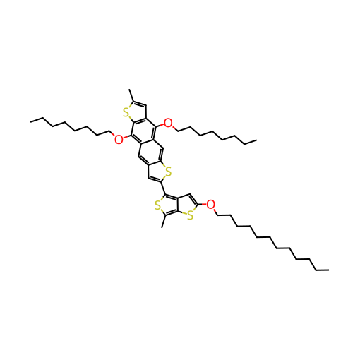 CCCCCCCCCCCCOc1cc2c(-c3cc4cc5c(OCCCCCCCC)c6sc(C)cc6c(OCCCCCCCC)c5cc4s3)sc(C)c2s1